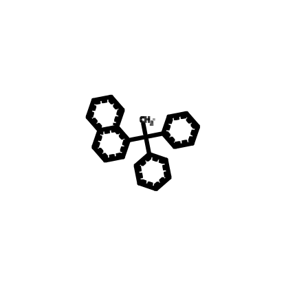 [CH2]C(c1ccccc1)(c1ccccc1)c1cccc2ccccc12